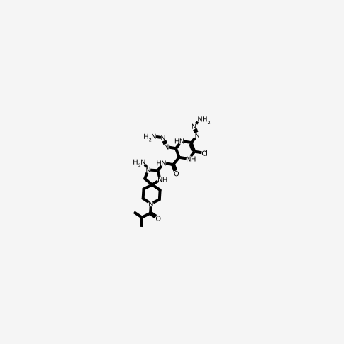 CC(C)C(=O)N1CCC2(CC1)CN(N)C(NC(=O)C1NC(Cl)=C(N=NN)NC1N=NN)N2